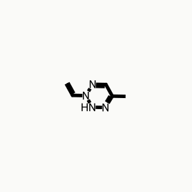 C=CN1N=CC(C)=NN1